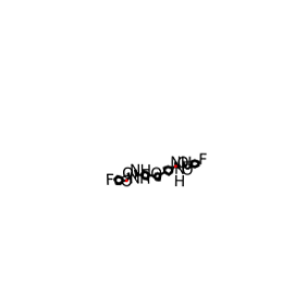 N=C(NC(=O)Oc1ccc(F)cc1)c1ccc(-c2ccc(-c3ccc(C(=N)NC(=O)Oc4ccc(F)cc4)cc3)o2)cc1